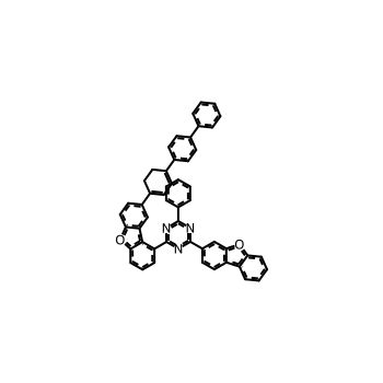 C1=C(c2ccc(-c3ccccc3)cc2)CCC(c2ccc3oc4cccc(-c5nc(-c6ccccc6)nc(-c6ccc7c(c6)oc6ccccc67)n5)c4c3c2)=C1